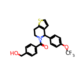 O=C(c1ccc(CO)cc1)N1CCc2sccc2C1c1ccc(OC(F)(F)F)cc1